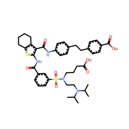 CC(C)N(CCN(CCCC(=O)O)S(=O)(=O)c1cccc(C(=O)Nc2sc3c(c2C(=O)Nc2ccc(CCc4ccc(C(=O)O)cc4)cc2)CCCC3)c1)C(C)C